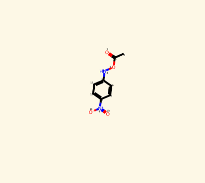 CC(=O)ONc1ccc([N+](=O)[O-])cc1